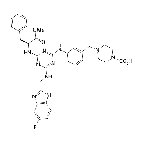 COC(=O)[C@H](Cc1ccccc1)Nc1nc(NCc2nc3cc(F)ccc3[nH]2)nc(Nc2cccc(CN3CCN(C(=O)O)CC3)c2)n1